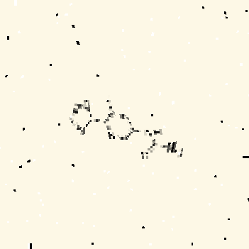 NC(=O)Nc1cnc(-c2ncco2)c(Cl)c1